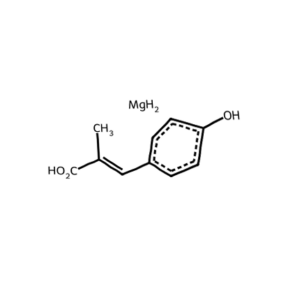 CC(=Cc1ccc(O)cc1)C(=O)O.[MgH2]